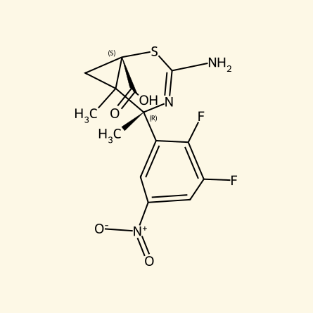 CC12C[C@]1(C(=O)O)SC(N)=N[C@]2(C)c1cc([N+](=O)[O-])cc(F)c1F